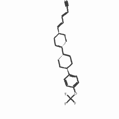 N#CC=CC=C[C@H]1CC[C@H]([C@H]2CC[C@H](c3ccc(OC(F)(F)F)cc3)CC2)CC1